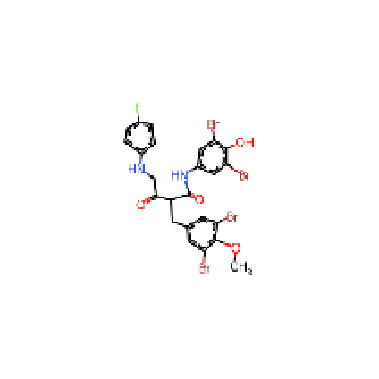 COc1c(Br)cc(CC(C(=O)CNc2ccc(F)cc2)C(=O)Nc2cc(Br)c(O)c(Br)c2)cc1Br